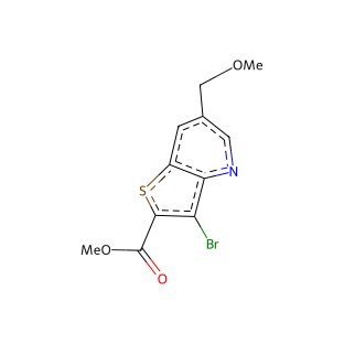 COCc1cnc2c(Br)c(C(=O)OC)sc2c1